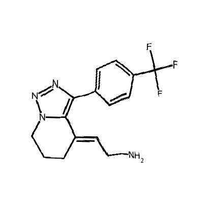 NC/C=C1\CCCn2nnc(-c3ccc(C(F)(F)F)cc3)c21